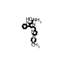 CN1CCN(c2ccc(Cc3cc4c([nH]c5ccccc54)c(C(N)=O)n3)nc2)CC1